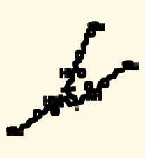 CC(C)(C)CCCCOCCC(=O)NCC[C@](C)(CCC(C)(C)CCNC(=O)CCOCCCCOC(C)(C)C)CCC(C)(C)NC(=O)CCOCCCCC(C)(C)C